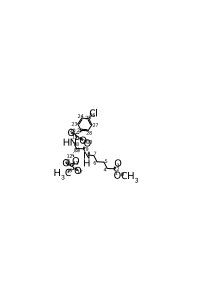 COC(=O)CCCCNC(=O)[C@H](COS(C)(=O)=O)NS(=O)(=O)c1ccc(Cl)cc1